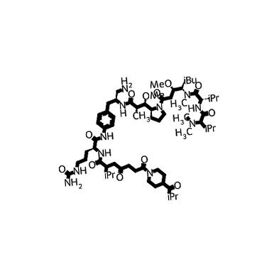 CC[C@H](C)[C@@H]([C@@H](CC(=O)N1CCC[C@H]1[C@H](OC)[C@@H](C)C(=O)N[C@H](CN)Cc1ccc(NC(=O)[C@H](CCCNC(N)=O)NC(=O)C(CC(=O)CCC(=O)N2CCC(C(=O)C(C)C)CC2)C(C)C)cc1)OC)N(C)C(=O)[C@@H](NC(=O)C(C(C)C)N(C)C)C(C)C